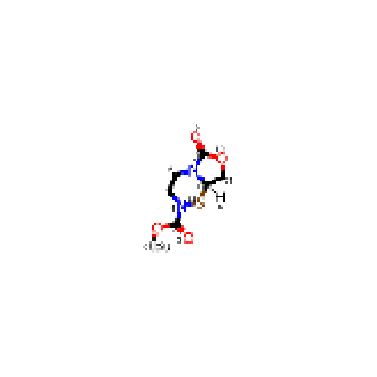 CC(C)(C)OC(=O)N1CCN2C(=O)OC[C@H]2S1